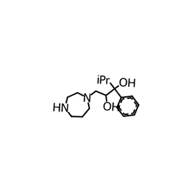 CC(C)C(O)(c1ccccc1)C(O)CN1CCCNCC1